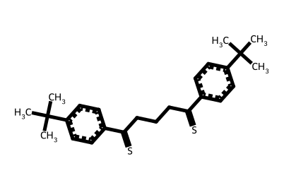 CC(C)(C)c1ccc(C(=S)CCCC(=S)c2ccc(C(C)(C)C)cc2)cc1